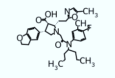 CCCC(CCC)N(C(=O)CN1C[C@H](c2ccc3c(c2)CCO3)[C@@H](C(=O)O)[C@@H]1CCc1ncc(C)o1)c1ccc(F)c(C)c1